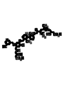 C=N/C(=C\C=C(/C)CNC[C@@H](O)CC(=O)O)C(=O)CNc1cccc(-c2cccc(COc3cc(OCc4cncc(C#N)c4)c(CNC[C@@H](O)CC(=O)O)cc3Cl)c2C)c1C